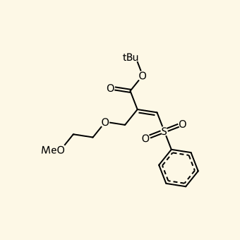 COCCOC/C(=C\S(=O)(=O)c1ccccc1)C(=O)OC(C)(C)C